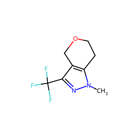 Cn1nc(C(F)(F)F)c2c1CCOC2